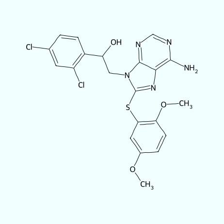 COc1ccc(OC)c(Sc2nc3c(N)ncnc3n2CC(O)c2ccc(Cl)cc2Cl)c1